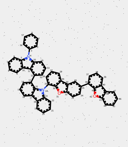 c1ccc(-n2c3ccccc3c3c(-c4cccc5c6ccccc6n(-c6cccc7c6oc6ccc(-c8cccc9c8oc8ccccc89)cc67)c45)cccc32)cc1